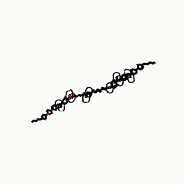 CCCCCC1CCC(c2ccc(-c3ccc(OC(=O)C4CCC(C(=O)OCCCCCC(=O)OCCCCCCCCOc5ccc(C(=O)Oc6ccc(OC(=O)C7CCC(C8CCC(CCCCC)CC8)CC7)cc6)cc5)CC4)cc3)cc2)CC1